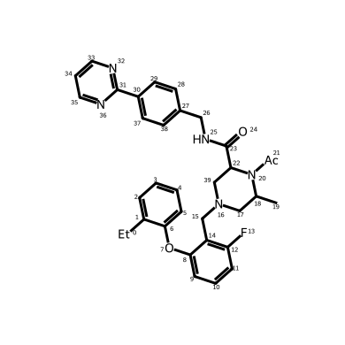 CCc1ccccc1Oc1cccc(F)c1CN1CC(C)N(C(C)=O)C(C(=O)NCc2ccc(-c3ncccn3)cc2)C1